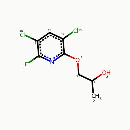 CC(O)COc1nc(F)c(Cl)cc1Cl